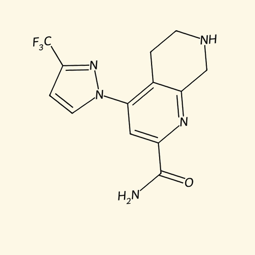 NC(=O)c1cc(-n2ccc(C(F)(F)F)n2)c2c(n1)CNCC2